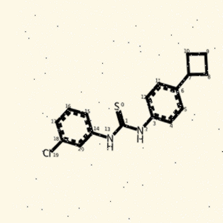 S=C(Nc1ccc(C2CCC2)cc1)Nc1cccc(Cl)c1